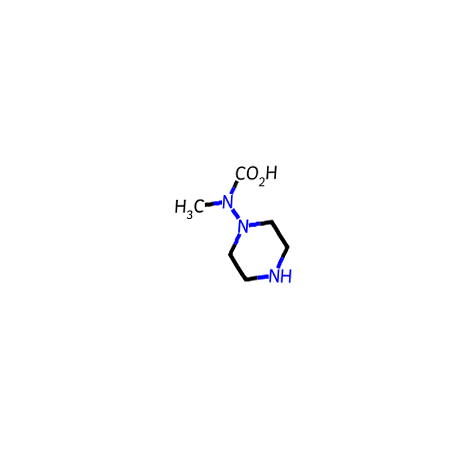 CN(C(=O)O)N1CCNCC1